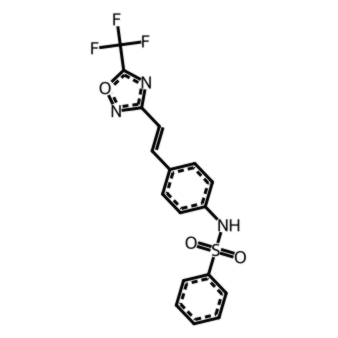 O=S(=O)(Nc1ccc(/C=C/c2noc(C(F)(F)F)n2)cc1)c1ccccc1